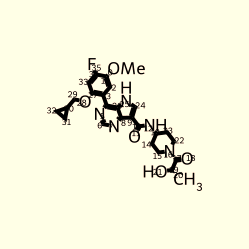 COc1cc(-c2ncnc3c(C(=O)NC4CCN(C(=O)[C@H](C)O)CC4)c[nH]c23)c(OCC2CC2)cc1F